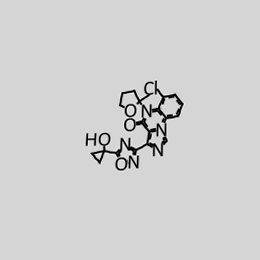 CC1(n2c(=O)c3c(-c4noc(C5(O)CC5)n4)ncn3c3cccc(Cl)c32)CCCO1